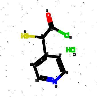 Cl.O=C(Cl)C(S)c1ccncc1